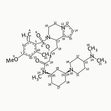 COc1cc(C)c(S(=O)(=O)N2CCn3cccc3C2CCCC(=O)N(C)[C@@H]2CCC[C@H](N3CCC(N(C)C)CC3)C2)c(C)c1